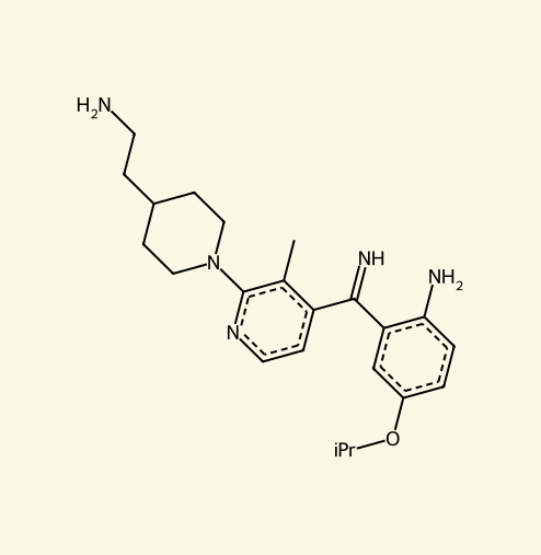 Cc1c(C(=N)c2cc(OC(C)C)ccc2N)ccnc1N1CCC(CCN)CC1